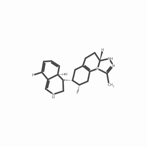 CC1=NN[C@H]2CCC3=C(C[C@H](F)[C@H](C4CNC=C5C(F)=CC=C[C@H]54)C3)N12